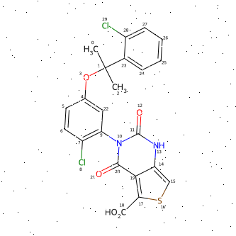 CC(C)(Oc1ccc(Cl)c(-n2c(=O)[nH]c3csc(C(=O)O)c3c2=O)c1)c1ccccc1Cl